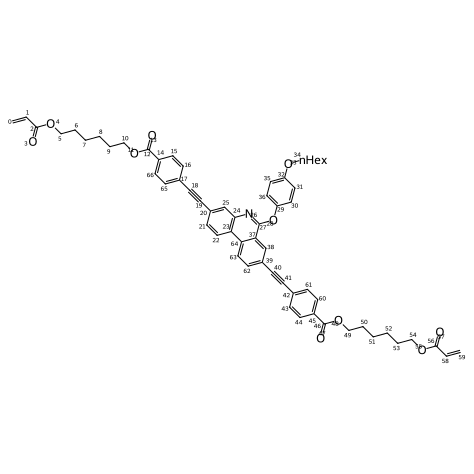 C=CC(=O)OCCCCCCOC(=O)c1ccc(C#Cc2ccc3c(c2)nc(Oc2ccc(OCCCCCC)cc2)c2cc(C#Cc4ccc(C(=O)OCCCCCCOC(=O)C=C)cc4)ccc23)cc1